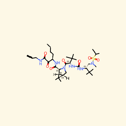 C=CCNC(=O)C(=O)C(CCCC)NC(=O)[C@@H]1[C@@H]2[C@H](CN1C(=O)[C@@H](NC(=O)N[C@H](CN(C)S(=O)(=O)C(C)C)C(C)(C)C)C(C)(C)C)C2(C)C